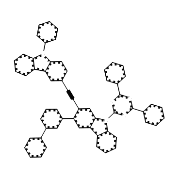 C(#Cc1cc2c(cc1-c1cccc(-c3ccccc3)c1)c1ccccc1n2-c1nc(-c2ccccc2)nc(-c2ccccc2)n1)c1ccc2c(c1)c1ccccc1n2-c1ccccc1